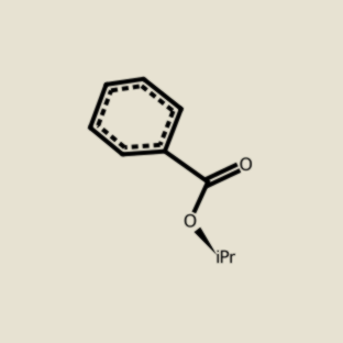 [CH2][C@H](C)OC(=O)c1ccccc1